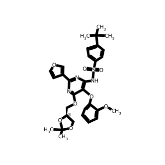 COc1ccccc1Oc1c(NS(=O)(=O)c2ccc(C(C)(C)C)cc2)nc(-c2ccoc2)nc1OC[C@H]1COC(C)(C)O1